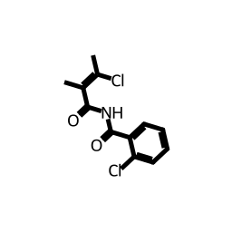 CC(Cl)=C(C)C(=O)NC(=O)c1ccccc1Cl